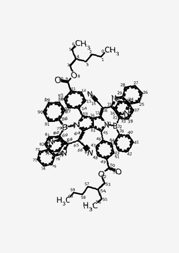 CCCCC(CC)COC(=O)c1ccc(-c2c3/c(=C(\C#N)c4cnc5ccccc5n4)n(B(c4ccccc4)c4ccccc4)c(-c4ccc(C(=O)OCC(CC)CCCC)cc4)c3/c(=C(\C#N)c3cnc4ccccc4n3)n2B(c2ccccc2)c2ccccc2)cc1